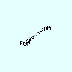 CCCC1CCC2CC(C3CCC(CCc4ccc(COc5ccc(OCC)c(F)c5F)cc4)CC3)CCC2C1